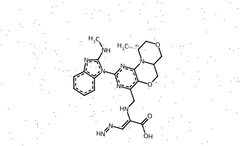 CNc1nc2ccccc2n1-c1nc(CN/C(=C\N=N)C(=O)O)c2c(n1)N1C(COC[C@H]1C)CO2